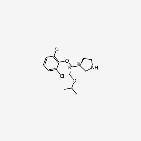 CC(C)OC[C@H](Oc1c(Cl)cccc1Cl)[C@H]1CCNC1